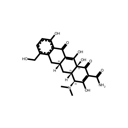 CN(C)[C@@H]1C(O)=C(C(N)=O)C(=O)[C@@]2(O)C(O)=C3C(=O)c4c(O)ccc(CO)c4C[C@H]3C[C@@H]12